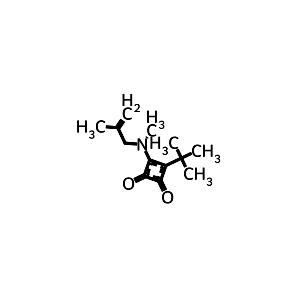 C=C(C)CN(C)c1c(C(C)(C)C)c(=O)c1=O